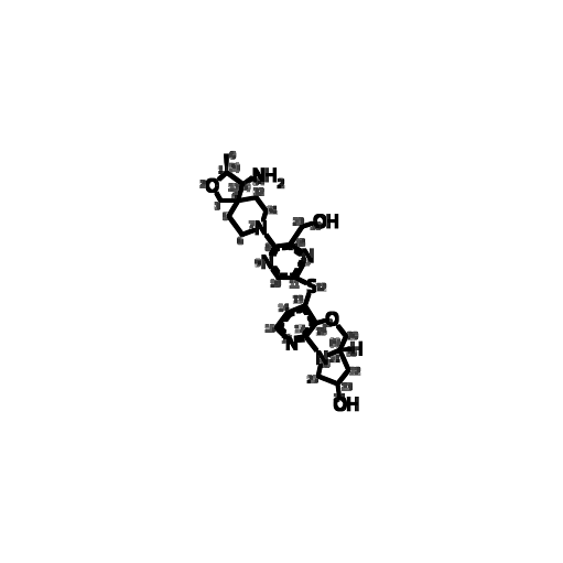 C[C@@H]1OCC2(CCN(c3ncc(Sc4ccnc5c4OC[C@@H]4CC(O)CN54)nc3CO)CC2)[C@@H]1N